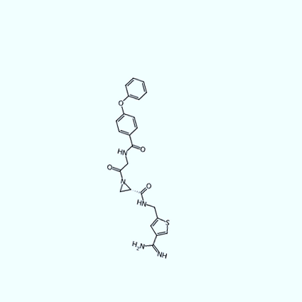 N=C(N)c1csc(CNC(=O)[C@@H]2CN2C(=O)CNC(=O)c2ccc(Oc3ccccc3)cc2)c1